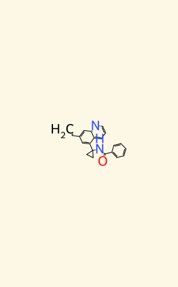 C=Cc1cc(C2(NC(=O)c3ccccc3)CC2)c2cccnc2c1